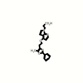 Cc1oc(-c2ccccc2)nc1CCOc1ccnc2c1ccn2CCC(=O)O